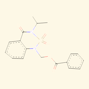 CC(C)N1C(=O)c2ccccc2N(COC(=O)c2ccccc2)S1(=O)=O